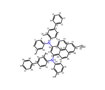 Cc1cccc(N(c2ccc(-c3ccccc3)cc2C)c2cc(N(c3cccc(C)c3)c3ccc(-c4ccccc4)cc3C)c3ccc4cc(C(C)(C)C)cc5ccc2c3c54)c1